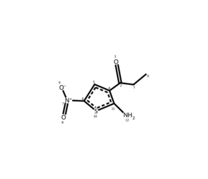 CCC(=O)c1cc([N+](=O)[O-])sc1N